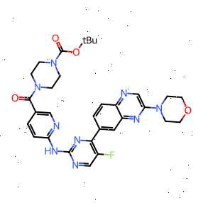 CC(C)(C)OC(=O)N1CCN(C(=O)c2ccc(Nc3ncc(F)c(-c4ccc5ncc(N6CCOCC6)nc5c4)n3)nc2)CC1